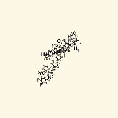 CC(C)Oc1ccccc1[C@@H]1CN(Cc2ccc(F)c(F)c2)CCN1C1CC2(CCN(c3ccc(C(=O)NS(=O)(=O)c4cc5c(c([N+](=O)[O-])c4)N[C@H](C4CCOCC4)C(C)(C)O5)c(N4c5cc6cc[nH]c6nc5O[C@H]5COCC[C@@H]54)c3)CC2)C1